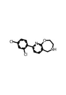 Clc1ccc(-c2ccc3c(n2)OCCNC3)c(Cl)c1